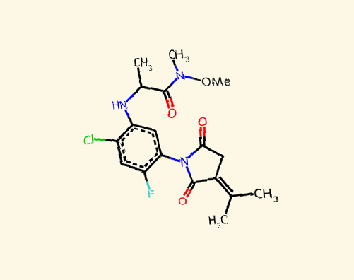 CON(C)C(=O)C(C)Nc1cc(N2C(=O)CC(=C(C)C)C2=O)c(F)cc1Cl